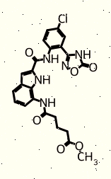 COC(=O)CCCC(=O)Nc1cccc2cc(C(=O)Nc3ccc(Cl)cc3-c3noc(=O)[nH]3)[nH]c12